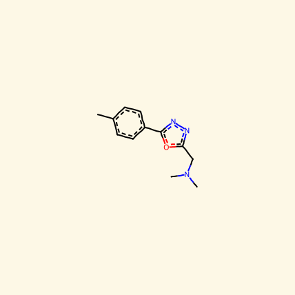 Cc1ccc(-c2nnc(CN(C)C)o2)cc1